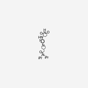 CC(C)CN(CC(C)C)C(=O)CC1CCN(c2ccc(NC3CCC(=O)NC3=O)nc2)CC1